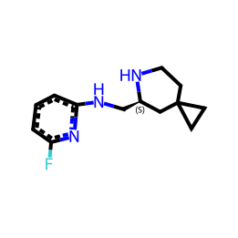 Fc1cccc(NC[C@@H]2CC3(CCN2)CC3)n1